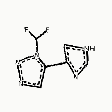 FC(F)n1nncc1-c1c[nH]cn1